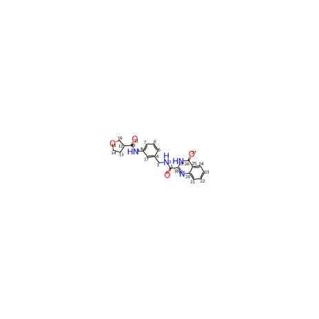 O=C(NCc1cccc(NC(=O)C2CCOC2)c1)c1nc2ccccc2c(=O)[nH]1